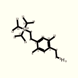 [3H]CCc1cc(C)c(CC[Si](C(C)C)(C(C)C)C(C)C)cc1C